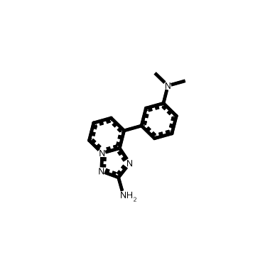 CN(C)c1cccc(-c2cccn3nc(N)nc23)c1